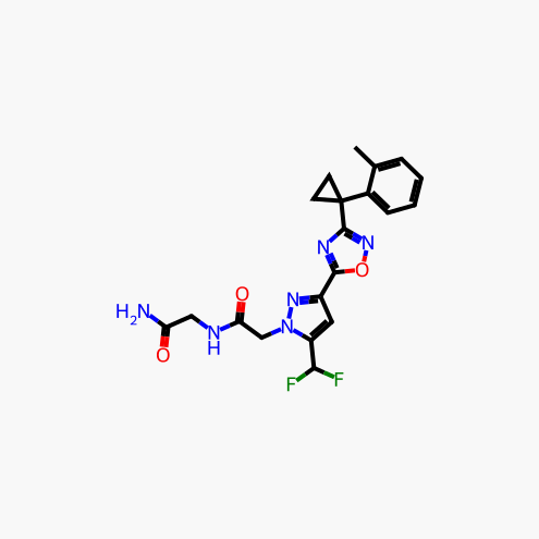 Cc1ccccc1C1(c2noc(-c3cc(C(F)F)n(CC(=O)NCC(N)=O)n3)n2)CC1